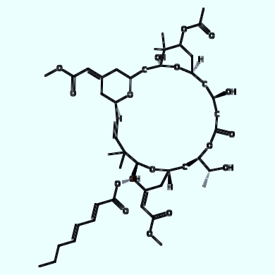 CCC/C=C/C=C/C(=O)O[C@H]1/C(=C/C(=O)OC)C[C@H]2C[C@H]([C@@H](C)O)OC(=O)C[C@H](O)C[C@@H]3CC(OC(C)=O)C(C)(C)[C@](O)(CC4C/C(=C/C(=O)OC)C[C@H](/C=C/C(C)(C)[C@]1(O)O2)O4)O3